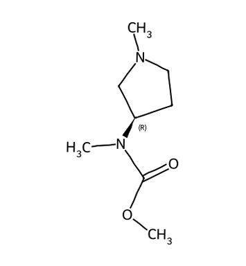 COC(=O)N(C)[C@@H]1CCN(C)C1